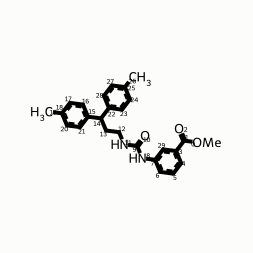 COC(=O)c1cccc(NC(=O)NCCC(c2ccc(C)cc2)c2ccc(C)cc2)c1